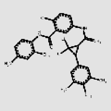 C=C(Nc1ccc(Cl)c(C(=O)Nc2ccc(N)cc2C)c1)C1C(c2cc(C)c(C)c(C)c2)C1(Cl)Cl